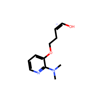 CN(C)c1ncccc1OCC/C=C\O